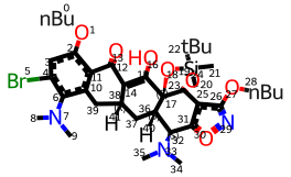 CCCCOc1cc(Br)c(N(C)C)c2c1C(=O)C1=C(O)[C@]3(O[Si](C)(C)C(C)(C)C)C(=O)c4c(OCCCC)noc4[C@@H](N(C)C)[C@@H]3C[C@@H]1C2